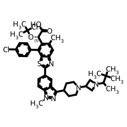 Cc1cc2nc(-c3ccc4c(c3)c(C3CCN(C5CN(C(C)C(C)(C)C)C5)CC3)nn4C)sc2c(-c2ccc(Cl)cc2)c1[C@H](OC(C)(C)C)C(=O)O